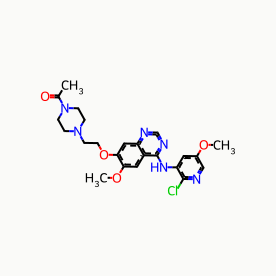 COc1cnc(Cl)c(Nc2ncnc3cc(OCCN4CCN(C(C)=O)CC4)c(OC)cc23)c1